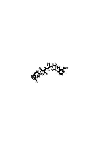 CCc1ccccc1CN1CCN(C(=O)CCc2c(C)nn(-c3ccc4nnc(C)n4n3)c2C)CC1